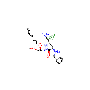 CCCCCCCOC(CNC(=O)C(CCCCN)NCc1ccccc1)COC.Cl.Cl